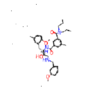 CCCN(CCC)C(=O)c1cc(C)cc(C(=O)N[C@@H](Cc2cc(C)ccc2OC)[C@H](O)CNCc2cccc(OC)c2)c1